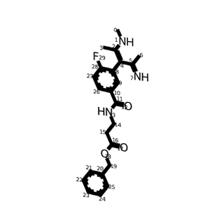 CN/C(C)=C(\C(C)=N)c1cc(C(=O)NCCC(=O)OCc2ccccc2)ccc1F